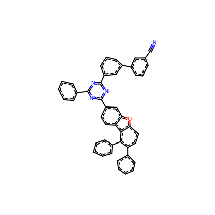 N#Cc1cccc(-c2cccc(-c3nc(-c4ccccc4)nc(-c4ccc5c(c4)oc4ccc(-c6ccccc6)c(-c6ccccc6)c45)n3)c2)c1